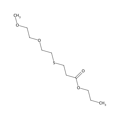 CCCOC(=O)CCSCCOCCOC